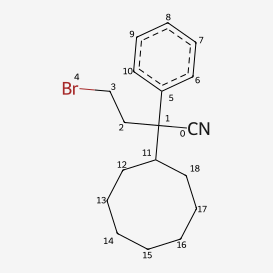 N#CC(CCBr)(c1ccccc1)C1CCCCCCC1